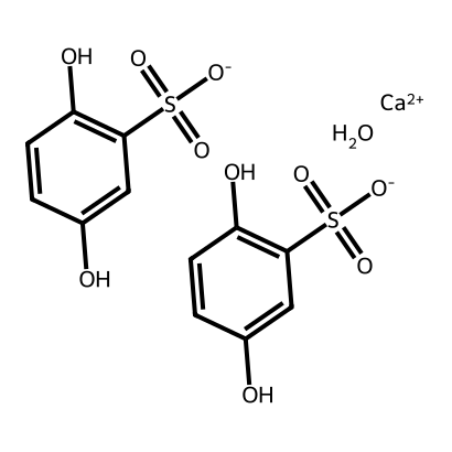 O.O=S(=O)([O-])c1cc(O)ccc1O.O=S(=O)([O-])c1cc(O)ccc1O.[Ca+2]